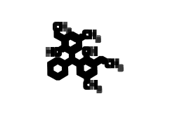 CCc1cc(C)cc(C(c2cc(C)cc(CC)c2O)C2CCCCC2)c1O